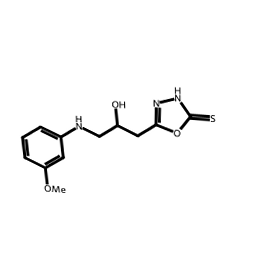 COc1cccc(NCC(O)Cc2n[nH]c(=S)o2)c1